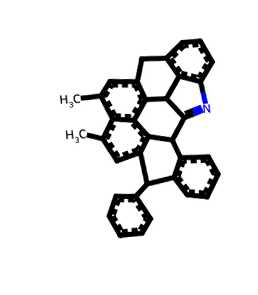 Cc1cc2c3c4c5c(cc(C)c14)C(c1ccccc1)c1ccccc1C5C1=Nc4cccc(c4C13)C2